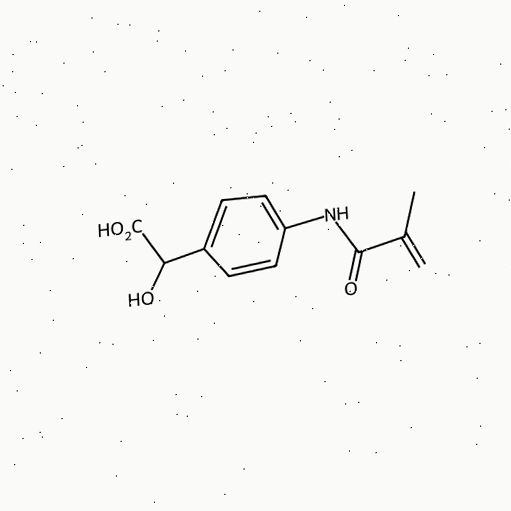 C=C(C)C(=O)Nc1ccc(C(O)C(=O)O)cc1